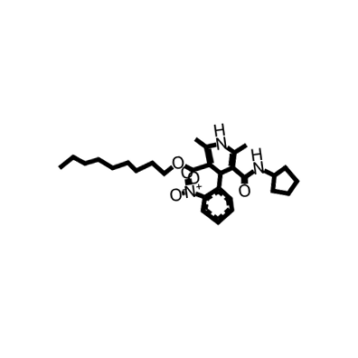 CCCCCCCCCOC(=O)C1=C(C)NC(C)=C(C(=O)NC2CCCC2)C1c1ccccc1[N+](=O)[O-]